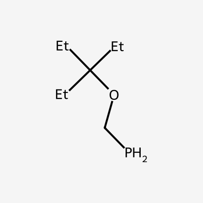 CCC(CC)(CC)OCP